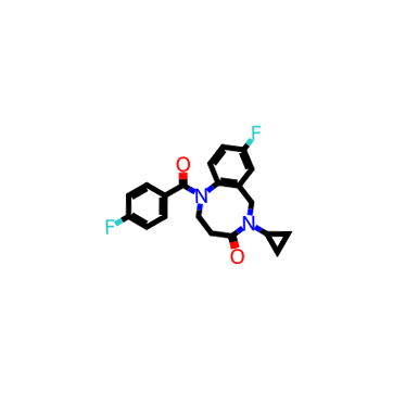 O=C(c1ccc(F)cc1)N1CCC(=O)N(C2CC2)Cc2cc(F)ccc21